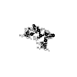 COc1cc2c(cc1OCc1cc(COc3cc4c(cc3OC)C(=O)N3Cc5ccsc5C[C@H]3C(O)N4C(=O)OCc3ccc(OC4O[C@H](COC(C)=O)[C@H](C)[C@H](OC(C)=O)[C@H]4OC(C)=O)cc3)cc(CN(C)C)c1)N(C(=O)OCc1ccc(OC3O[C@H](OC(C)=O)[C@H](OC(C)=O)[C@H](OC(C)=O)[C@H]3C)cc1)C(O)[C@@H]1Cc3ccccc3CN1C2=O